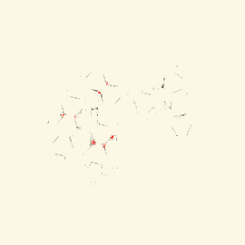 CC(C)(C)c1ccc(-c2ccccc2N(c2cccc(-c3ccc4c(c3)c3ccccc3n4-c3ccccc3)c2)c2ccccc2-c2cccc3cccc(-c4cc(C(C)(C)C)cc(C(C)(C)C)c4)c23)cc1